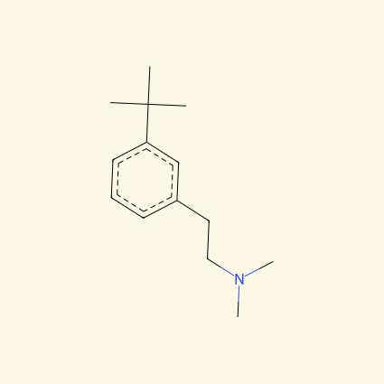 CN(C)CCc1cccc(C(C)(C)C)c1